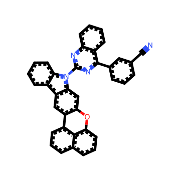 N#Cc1cccc(-c2nc(-n3c4ccccc4c4cc5c(cc43)Oc3cccc4cccc-5c34)nc3ccccc23)c1